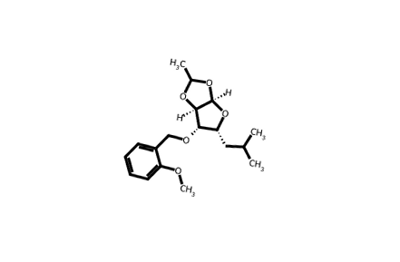 COc1ccccc1CO[C@@H]1[C@H]2OC(C)O[C@H]2O[C@@H]1CC(C)C